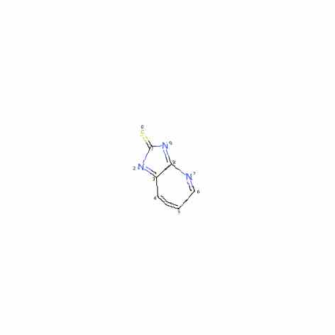 S=C1N=c2cccnc2=N1